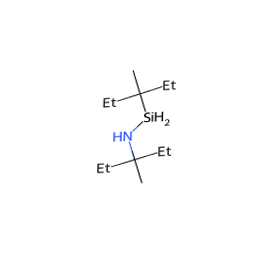 CCC(C)(CC)N[SiH2]C(C)(CC)CC